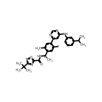 Cc1cc(-c2cc(Nc3cccc(C(C)C)c3)ncn2)c(F)cc1[C@@H](C)NC(=O)c1nc(C(C)(C)C)no1